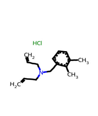 C=CCN(CC=C)Cc1cccc(C)c1C.Cl